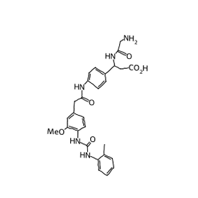 COc1cc(CC(=O)Nc2ccc(C(CC(=O)O)NC(=O)CN)cc2)ccc1NC(=O)Nc1ccccc1C